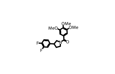 COc1cc(C(=O)N2CC[C](c3ccc(F)c(F)c3)C2)cc(OC)c1OC